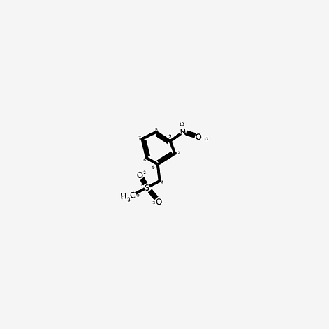 CS(=O)(=O)Cc1cccc(N=O)c1